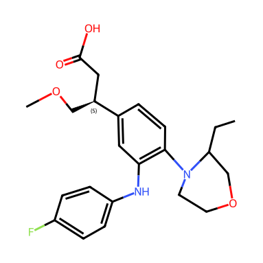 CCC1COCCN1c1ccc([C@@H](COC)CC(=O)O)cc1Nc1ccc(F)cc1